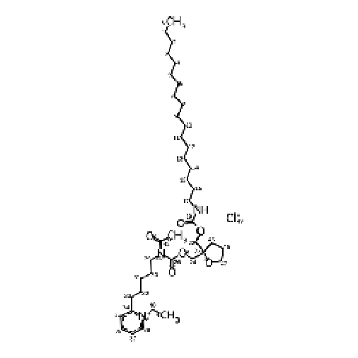 CCCCCCCCCCCCCCCCCCNC(=O)OCC1(COC(=O)N(CCCCCc2cccc[n+]2CC)C(C)=O)CCCO1.[Cl-]